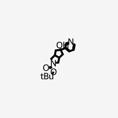 CC(C)(C)OC(=O)N1CC2CC(O)(c3cccnc3)CC2C1